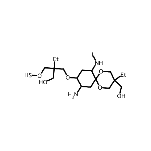 CCC(CO)(COS)COC1CC(NI)C2(CC1N)OCC(CC)(CO)CO2